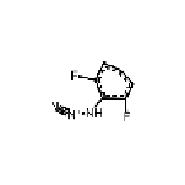 N#[N+]Nc1c(F)cccc1F